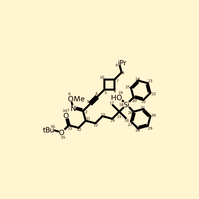 CO/N=C(\C#CC1CC(CC(C)C)C1)C(CCCC(C)(C)[Si](O)(c1ccccc1)c1ccccc1)CC(=O)OC(C)(C)C